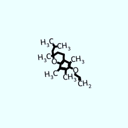 C=CCOc1c(C)c(C)c2c(c1C)CCC(C)(CC(C)C)O2